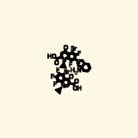 NC12C=CC=CC1CN(c1c(F)c(Br)c3c(=O)cc(C(=O)O)n(C4CC4)c3c1F)C2.O=C(O)c1cn(C2CC2)c2c(F)c(F)c(F)c(Br)c2c1=O